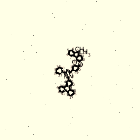 CC1(C)c2ccccc2-c2c1ccc1c2Oc2cc(-c3nc(-c4ccccc4)nc(-c4ccc5c6ccccc6c6ccccc6c5c4)n3)ccc2O1